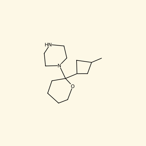 CC1CC(C2(N3CCNCC3)CCCCO2)C1